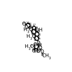 CCOC1O[C@H]2[C@H](O[C@@H]3C=C4CCC5C(CC[C@]6(C)[C@@H](c7ccc(=O)oc7)CC[C@]56O)[C@@]4(C)CC3)O[C@@H](C)C(=O)[C@H]2O1